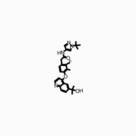 Cc1c(Oc2ccnc3ccc(C(C)(C)O)cc23)ccc(CC(=O)Nc2cnn(C(C)(C)C)c2)c1F